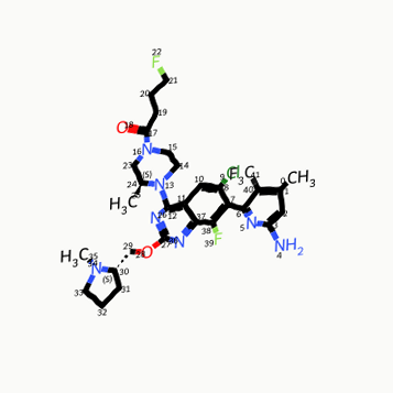 Cc1cc(N)nc(-c2c(Cl)cc3c(N4CCN(C(=O)CCCF)C[C@@H]4C)nc(OC[C@@H]4CCCN4C)nc3c2F)c1C(F)(F)F